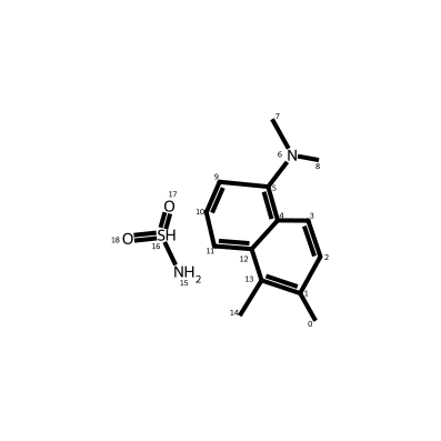 Cc1ccc2c(N(C)C)cccc2c1C.N[SH](=O)=O